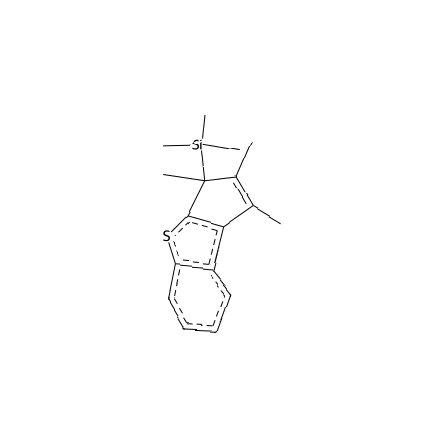 CC1=C(C)C(C)([Si](C)(C)C)c2sc3ccccc3c21